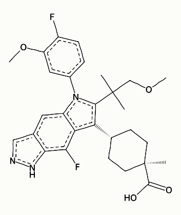 COCC(C)(C)c1c([C@H]2CC[C@](C)(C(=O)O)CC2)c2c(F)c3[nH]ncc3cc2n1-c1ccc(F)c(OC)c1